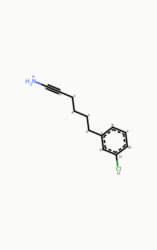 NC#CCCCCc1cccc(Cl)c1